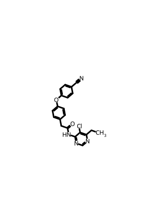 CCc1ncnc(NC(=O)Cc2ccc(Oc3ccc(C#N)cc3)cc2)c1Cl